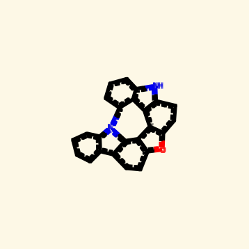 c1ccc2c(c1)c1ccc3oc4ccc5[nH]c6cccc7c6c5c4c3c1n27